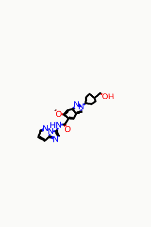 COc1cc2nn(C3CCC(CO)CC3)cc2cc1C(=O)Nc1cnc2cccnn12